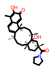 CC1=C(O)C(=O)C=C2C1=CC=C1[C@@H](C)CC[C@@]3(C)CC[C@@](C)(C(=O)N4CCCC4)C[C@@]3(O)[C@H](C)CC[C@@]21C